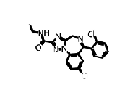 CCNC(=O)c1nc2n(n1)-c1ccc(Cl)cc1C(c1ccccc1Cl)=NC2